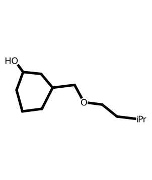 CC(C)CCOCC1CCCC(O)C1